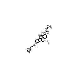 CCOC(=O)Nc1cccc(C2=C(N)c3ccc(OCCCn4cncn4)cc3C2CC)c1